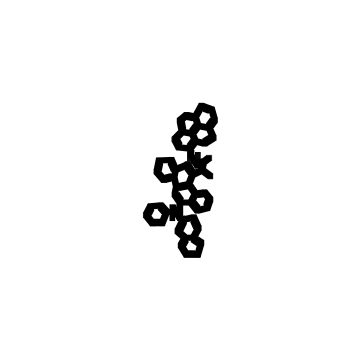 Cc1c(C)n(-c2ccc3ccc4cccc5ccc2c3c45)c2c3ccccc3c3cc(N(c4ccccc4)c4ccc5ccccc5c4)c4ccccc4c3c12